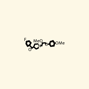 COc1ccc(OCC(CN2CCC(C(=O)c3ccc(F)cc3)CC2)OC)cc1